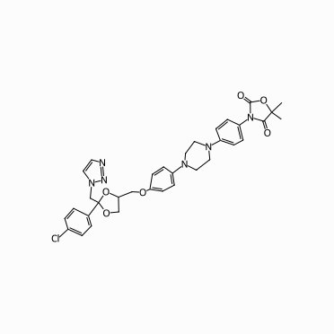 CC1(C)OC(=O)N(c2ccc(N3CCN(c4ccc(OCC5COC(Cn6ccnn6)(c6ccc(Cl)cc6)O5)cc4)CC3)cc2)C1=O